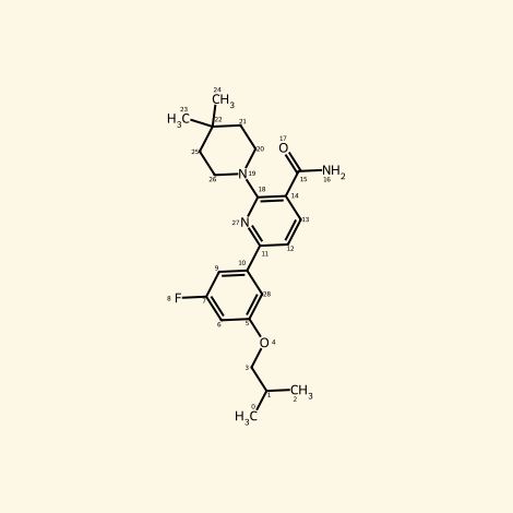 CC(C)COc1cc(F)cc(-c2ccc(C(N)=O)c(N3CCC(C)(C)CC3)n2)c1